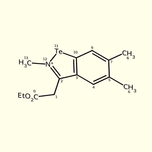 CCOC(=O)Cc1c2cc(C)c(C)cc2[te][n+]1C